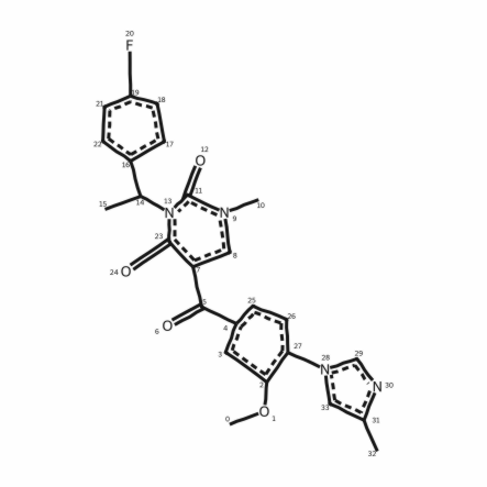 COc1cc(C(=O)c2cn(C)c(=O)n(C(C)c3ccc(F)cc3)c2=O)ccc1-n1cnc(C)c1